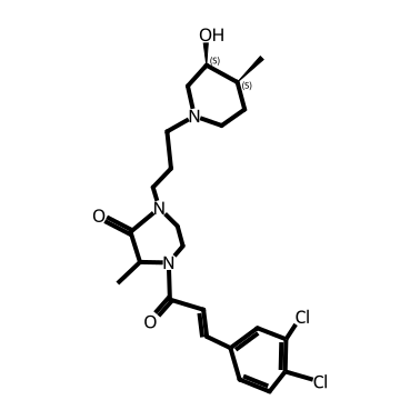 CC1C(=O)N(CCCN2CC[C@H](C)[C@H](O)C2)CCN1C(=O)C=Cc1ccc(Cl)c(Cl)c1